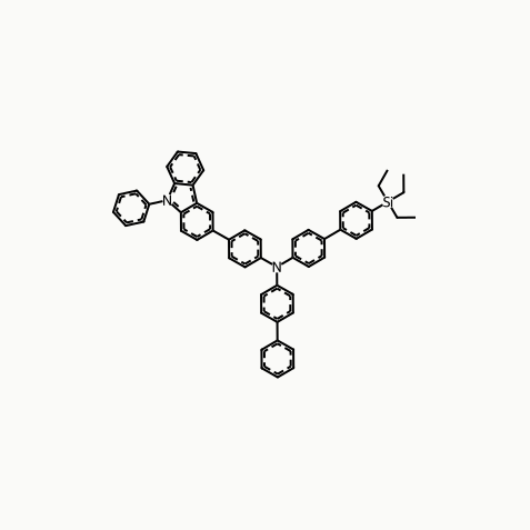 CC[Si](CC)(CC)c1ccc(-c2ccc(N(c3ccc(-c4ccccc4)cc3)c3ccc(-c4ccc5c(c4)c4ccccc4n5-c4ccccc4)cc3)cc2)cc1